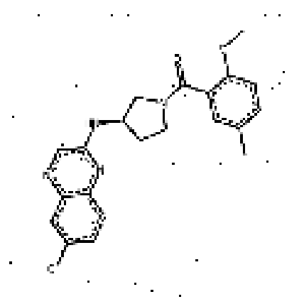 COc1ccc(C)cc1C(=O)N1CC[C@@H](Nc2cnc3cc(Cl)ccc3n2)C1